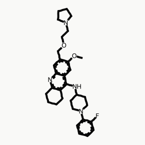 COc1cc2c(NC3CCN(c4ccccc4F)CC3)c3c(nc2cc1COCCN1CCCC1)CCCC3